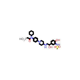 CS(=O)(=O)Nc1cc([C@@H](O)CNC2CCN(c3ccc(N(C(=O)CC(=O)O)C4CCCCC4)cc3)CC2)ccc1O